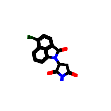 O=C1CC(N2C(=O)c3ccc(Br)c4cccc2c34)C(=O)N1